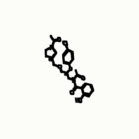 CC(=O)N1CC[C@H](COC[C@H](CN(C(C)=O)C(=O)c2ccccc2O)Oc2ccc(Cl)cc2)C1